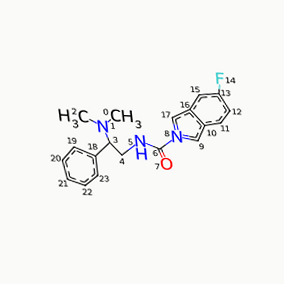 CN(C)C(CNC(=O)n1cc2ccc(F)cc2c1)c1ccccc1